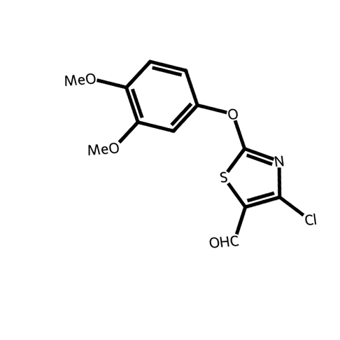 COc1ccc(Oc2nc(Cl)c(C=O)s2)cc1OC